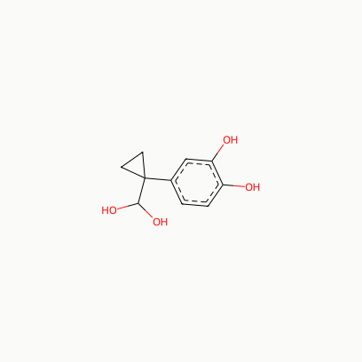 Oc1ccc(C2(C(O)O)CC2)cc1O